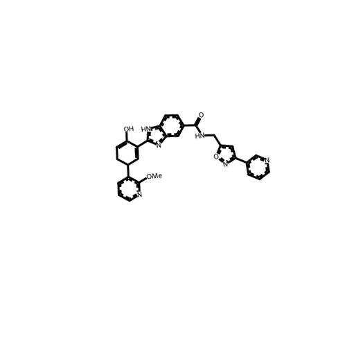 COc1ncccc1C1C=C(c2nc3cc(C(=O)NCc4cc(-c5cccnc5)no4)ccc3[nH]2)C(O)=CC1